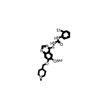 CCc1ccccc1NC(=O)NSc1ncnc2cc(OCC3CCN(C)CC3)c(OC)cc12